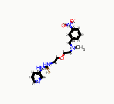 CN(CCOCCNC(=S)Nc1cccnc1)Cc1cccc([N+](=O)[O-])c1